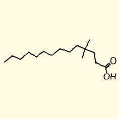 CCCCCCCCCCC(C)(C)CCC(=O)O